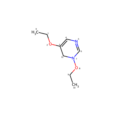 CCOC1=CN=CN(OCC)C1